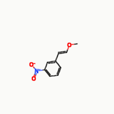 COC=Cc1cccc([N+](=O)[O-])c1